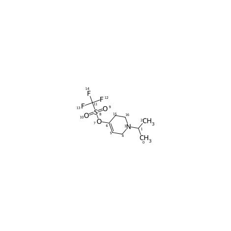 CC(C)N1CC=C(OS(=O)(=O)C(F)(F)F)CC1